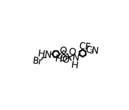 CC(O)(CS(=O)(=O)c1ccc(NCCBr)cc1)C(=O)Nc1ccc(C#N)c(C(F)(F)F)c1